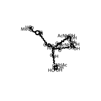 COP(=O)(O)OCCC1C2CCc3nnn(CCCCCCCCC(=O)N4CCC(C(=O)NC(COCCC(=O)NCCCCCCOC5OC(CO)C(O)C(O)C5NC(C)=O)(COCCC(=O)NCCCCCCOC5OC(CO)C(O)C(O)C5NC(C)=O)COCCC(=O)NCCCCCCOC5OC(CO)C(O)C(O)C5NC(C)=O)CC4)c3CCC12